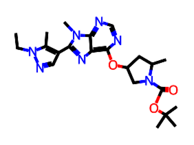 CCn1ncc(-c2nc3c(OC4CC(C)N(C(=O)OC(C)(C)C)C4)ncnc3n2C)c1C